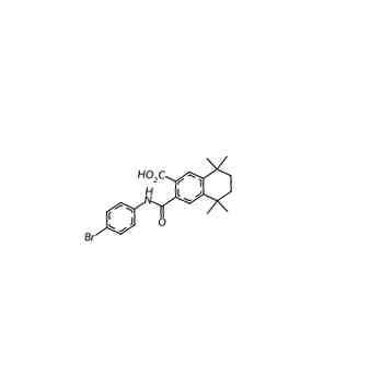 CC1(C)CCC(C)(C)c2cc(C(=O)Nc3ccc(Br)cc3)c(C(=O)O)cc21